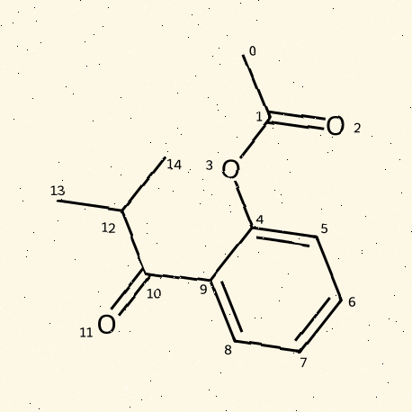 CC(=O)Oc1ccccc1C(=O)C(C)C